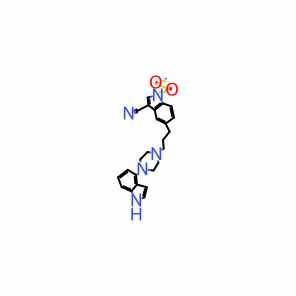 CS(=O)(=O)n1cc(C#N)c2cc(CCCN3CCN(c4cccc5[nH]ccc45)CC3)ccc21